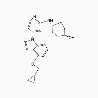 O[C@H]1CC[C@H](Nc2nccc(-n3ncc4c(OCC5CC5)cccc43)n2)CC1